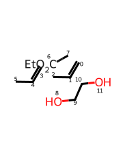 C=CC.C=CC.CCOC(C)=O.OCCO